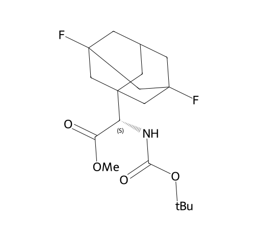 COC(=O)[C@@H](NC(=O)OC(C)(C)C)C12CC3CC(F)(CC(F)(C3)C1)C2